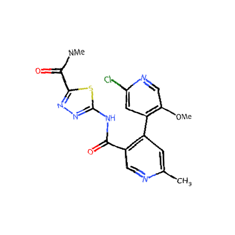 CNC(=O)c1nnc(NC(=O)c2cnc(C)cc2-c2cc(Cl)ncc2OC)s1